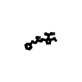 COC1=C(C(=O)O)C(C=CC(O)COc2ccccc2)CC1